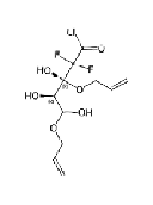 C=CCOC(O)[C@@H](O)[C@@](O)(OCC=C)C(F)(F)C(=O)Cl